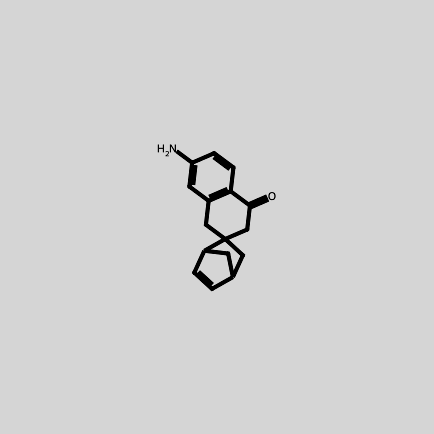 Nc1ccc2c(c1)CC1(CC2=O)CC2C=CC1C2